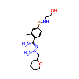 Cc1cc(SNCCO)ccc1/C(N)=N/N(N)CC1CCCCO1